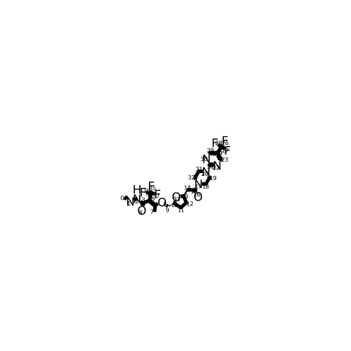 C=NNC(=O)/C(=C(\C)OC[C@H]1CC[C@H](CC(=O)N2CCN(c3ncc(C(F)(F)F)cn3)CC2)O1)C(F)(F)F